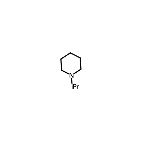 [CH2]C(C)N1CCCCC1